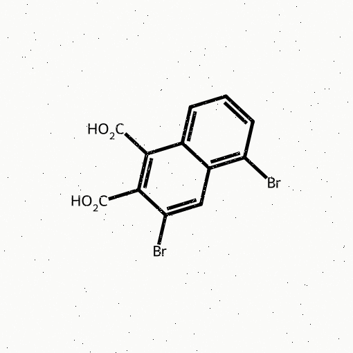 O=C(O)c1c(Br)cc2c(Br)cccc2c1C(=O)O